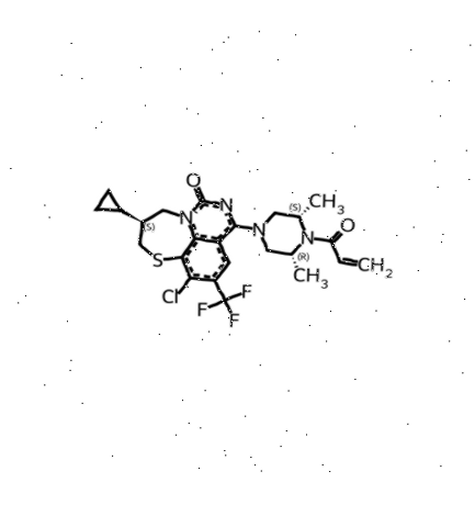 C=CC(=O)N1[C@H](C)CN(c2nc(=O)n3c4c(c(Cl)c(C(F)(F)F)cc24)SC[C@@H](C2CC2)C3)C[C@@H]1C